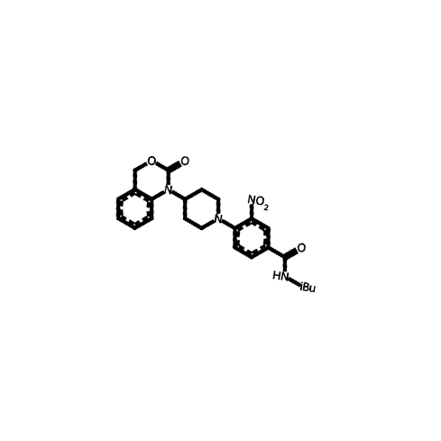 CCC(C)NC(=O)c1ccc(N2CCC(N3C(=O)OCc4ccccc43)CC2)c([N+](=O)[O-])c1